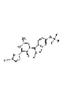 CC(C)CC(C(=O)Nc1ccn(C)n1)N1C(=O)Cc2cc(OC(F)(F)F)ccc21